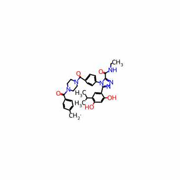 [CH2]c1ccc(C(=O)N2CCN(C(=O)c3ccc(-n4c(C(=O)NCC)nnc4-c4cc(C(C)C)c(O)cc4O)cc3)CC2)cc1